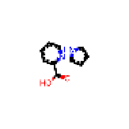 O=C(O)c1ccccn1.c1cc[nH]c1